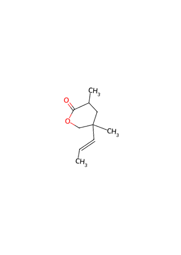 CC=CC1(C)COC(=O)C(C)C1